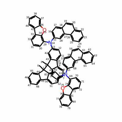 CC1(C2(C)c3ccccc3-c3ccc(N(c4ccc5ccc6ccccc6c5c4)c4cccc5c4oc4ccccc45)cc32)c2ccccc2-c2ccc(N(c3ccc4ccc5ccccc5c4c3)c3cccc4c3oc3ccccc34)cc21